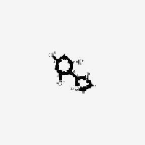 [K+].[O-]c1cc(Cl)ccc1-c1ncco1